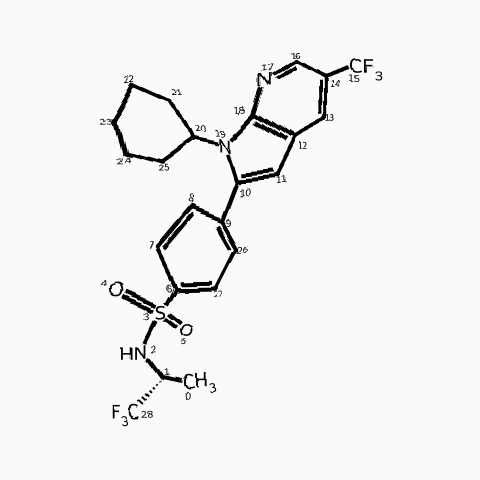 C[C@@H](NS(=O)(=O)c1ccc(-c2cc3cc(C(F)(F)F)cnc3n2C2CCCCC2)cc1)C(F)(F)F